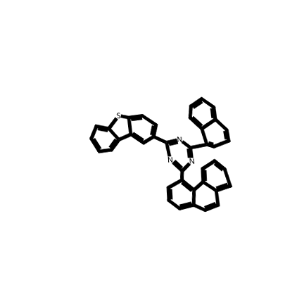 c1ccc2c(-c3nc(-c4ccc5sc6ccccc6c5c4)nc(-c4cccc5ccc6ccccc6c45)n3)cccc2c1